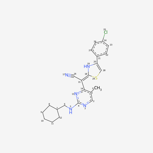 Cc1cnc(NCC2CCCCC2)nc1C(C#N)=C1NC(c2ccc(Cl)cc2)=CS1